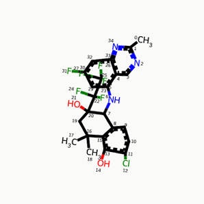 Cc1ncc2c(NC3c4ccc(Cl)c(O)c4C(C)(C)CC3(O)C(F)(F)C(F)(F)F)cc(F)cc2n1